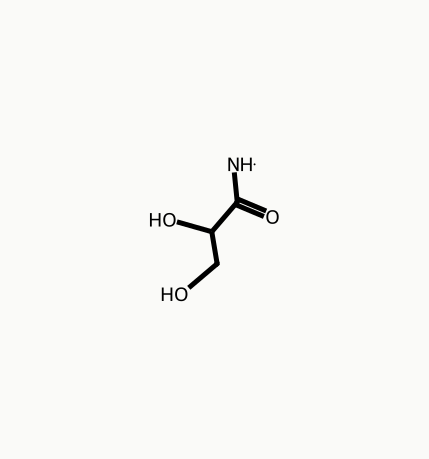 [NH]C(=O)C(O)CO